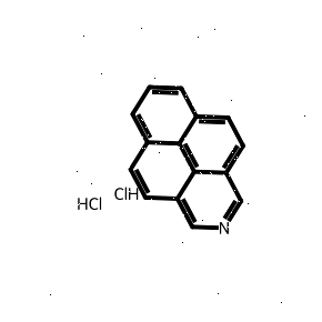 Cl.Cl.c1cc2ccc3cncc4ccc(c1)c2c34